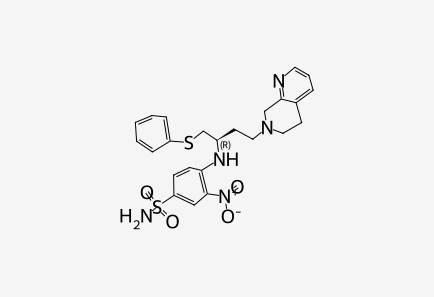 NS(=O)(=O)c1ccc(N[C@H](CCN2CCc3cccnc3C2)CSc2ccccc2)c([N+](=O)[O-])c1